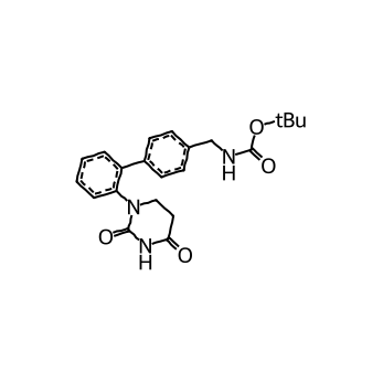 CC(C)(C)OC(=O)NCc1ccc(-c2ccccc2N2CCC(=O)NC2=O)cc1